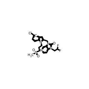 CS(=O)(=O)CCCn1c(Cn2c(=O)n(CC(F)F)c3ccncc32)cc2cc(Cl)ccc21